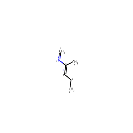 C=N/C(C)=C/CC